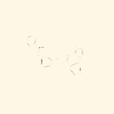 O=C(Nc1cccc(NCc2nc3nncn3c3cc(Cl)ccc23)c1)c1ccccc1